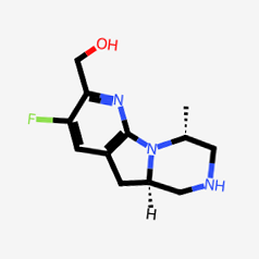 C[C@@H]1CNC[C@H]2Cc3cc(F)c(CO)nc3N21